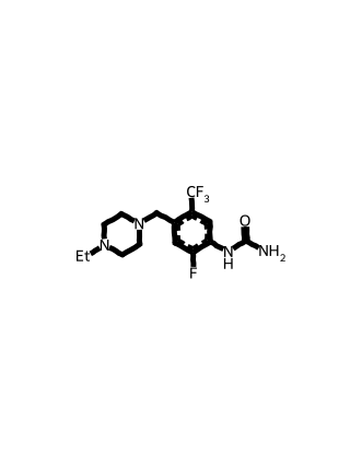 CCN1CCN(Cc2cc(F)c(NC(N)=O)cc2C(F)(F)F)CC1